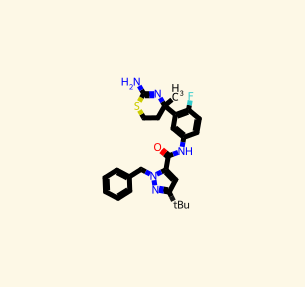 CC(C)(C)c1cc(C(=O)Nc2ccc(F)c(C3(C)CCSC(N)=N3)c2)n(Cc2ccccc2)n1